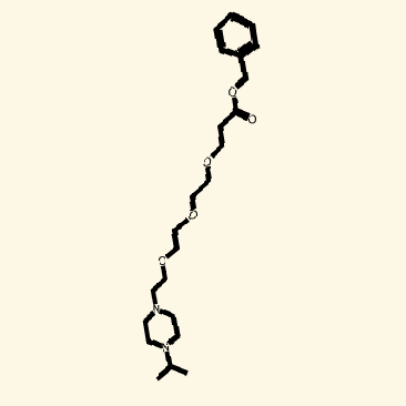 CC(C)N1CCN(CCOCCOCCOCCC(=O)OCc2ccccc2)CC1